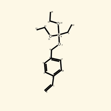 C=Cc1ccc(CO[Si](CC)(OCC)OCC)cc1